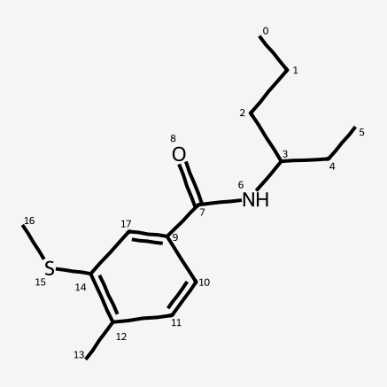 CCCC(CC)NC(=O)c1ccc(C)c(SC)c1